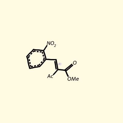 COC(=O)/C(=C/c1ccccc1[N+](=O)[O-])C(C)=O